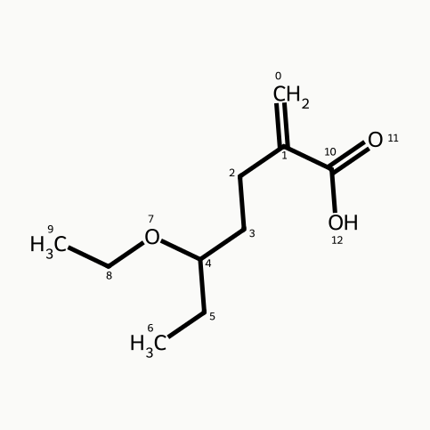 C=C(CCC(CC)OCC)C(=O)O